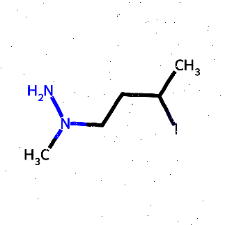 CC(I)CCN(C)N